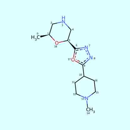 C[C@H]1CNC[C@@H](c2nnc(C3CCN(C)CC3)o2)O1